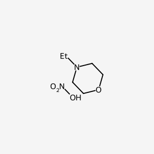 CCN1CCOCC1.O=[N+]([O-])O